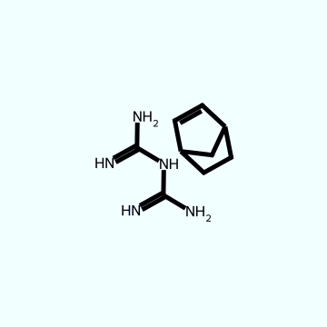 C1=CC2CCC1C2.N=C(N)NC(=N)N